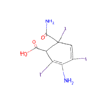 NC(=O)C1(I)C=C(I)C(N)=C(I)C1C(=O)O